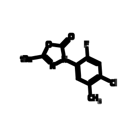 Cc1cc(-n2nc(C(C)(C)C)oc2=O)c(F)cc1Cl